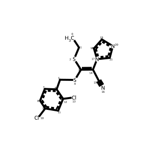 CCS/C(SCc1ccc(Cl)cc1Cl)=C(/C#N)n1ccnc1